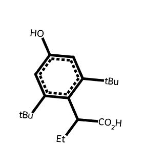 CCC(C(=O)O)c1c(C(C)(C)C)cc(O)cc1C(C)(C)C